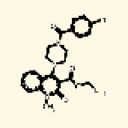 CCOC(=O)c1c(N2CCN(C(=O)c3ccc(Cl)cc3)CC2)c2ccccc2n(C)c1=O